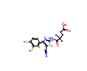 CC(C)(CCC(=O)O)C(=O)Nc1nc(-c2ccc(F)c(F)c2)c(C#N)s1